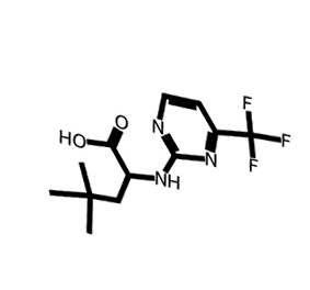 CC(C)(C)CC(Nc1nccc(C(F)(F)F)n1)C(=O)O